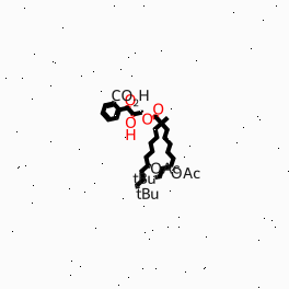 CC(=O)OC(CCCCCC(C)(CCCCCC(CCC(C)(C)C)OC(C)=O)C(=O)OCC(O)C(=O)c1ccccc1C(=O)O)CCCC(C)(C)C